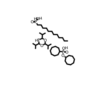 CC(C)C1OC(C(C)C)PC(C(C)C)O1.CCCCCCCCCCCC[PH](=O)O.O=P(O)(OC1CCCCCCC1)C1CCCCCCC1